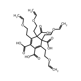 C=COCCC1=C(C(=O)O)C(C(=O)O)=C(CCOC=C)C(CCOC=C)(C(=O)O)C1(CCOC=C)C(=O)O